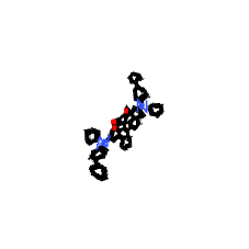 c1ccc(-c2ccc(N(c3ccccc3)c3ccc4c5c(ccc4c3)-c3c(c4ccc(N(c6ccccc6)c6ccc(-c7ccccc7)cc6)cc4c4ccccc34)C53c4ccccc4-c4ccccc43)cc2)cc1